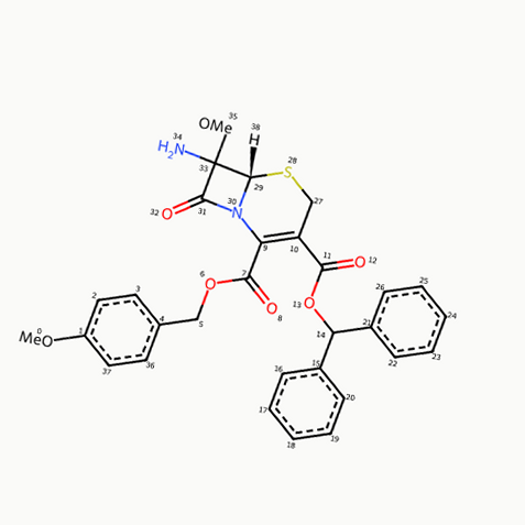 COc1ccc(COC(=O)C2=C(C(=O)OC(c3ccccc3)c3ccccc3)CS[C@@H]3N2C(=O)C3(N)OC)cc1